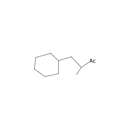 CC(=O)C(C)CC1CCCCC1